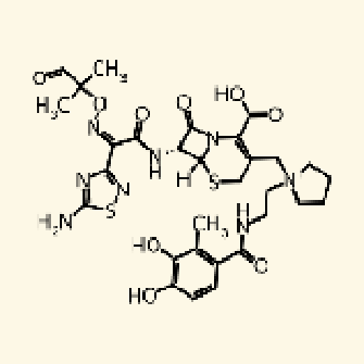 Cc1c(C(=O)NCC[N+]2(CC3=C(C(=O)O)N4C(=O)[C@@H](NC(=O)/C(=N\OC(C)(C)C=O)c5nsc(N)n5)[C@H]4SC3)CCCC2)ccc(O)c1O